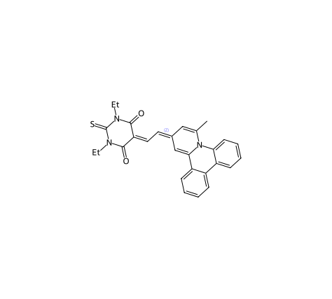 CCN1C(=O)C(=C/C=C2/C=C(C)N3C(=C2)c2ccccc2-c2ccccc23)C(=O)N(CC)C1=S